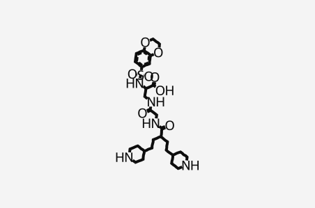 O=C(CNC(=O)C(CCC1CCNCC1)CCC1CCNCC1)NCC(NS(=O)(=O)c1ccc2c(c1)OCCO2)C(=O)O